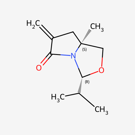 C=C1C[C@@]2(C)CO[C@H](C(C)C)N2C1=O